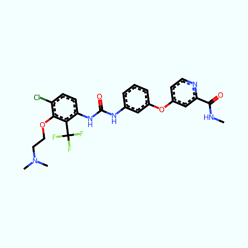 CNC(=O)c1cc(Oc2cccc(NC(=O)Nc3ccc(Cl)c(OCCN(C)C)c3C(F)(F)F)c2)ccn1